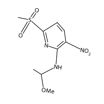 COC(C)Nc1nc(S(C)(=O)=O)ccc1[N+](=O)[O-]